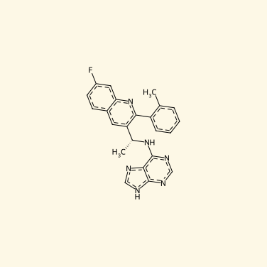 Cc1ccccc1-c1nc2cc(F)ccc2cc1[C@@H](C)Nc1ncnc2[nH]cnc12